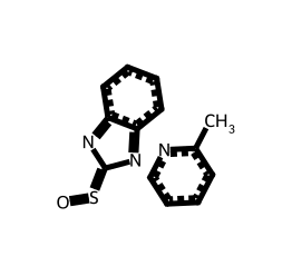 Cc1ccccn1.O=S=C1N=c2ccccc2=N1